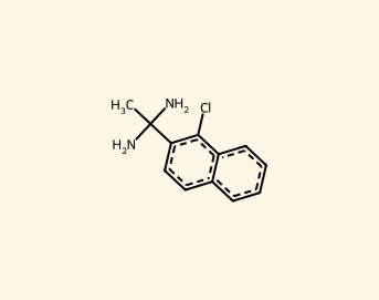 CC(N)(N)c1ccc2ccccc2c1Cl